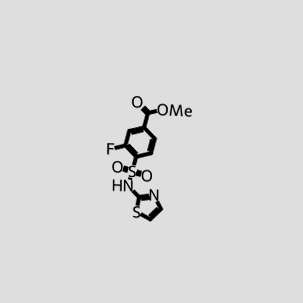 COC(=O)c1ccc(S(=O)(=O)Nc2nccs2)c(F)c1